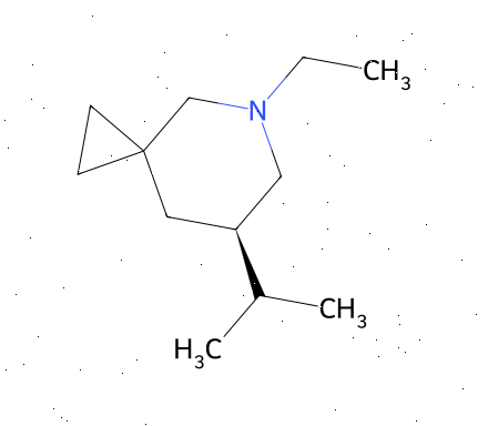 CCN1C[C@@H](C(C)C)CC2(CC2)C1